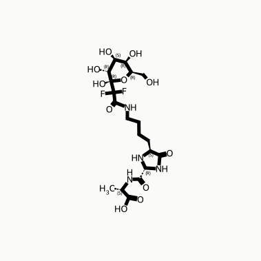 C[C@H](NC(=O)[C@H]1NC(=O)[C@H](CCCCNC(=O)C(F)(F)[C@]2(O)O[C@H](CO)[C@H](O)[C@H](O)[C@H]2O)N1)C(=O)O